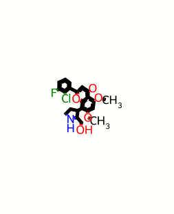 COc1cc(OC)c2c(=O)cc(-c3cccc(F)c3Cl)oc2c1C1CCNC1CO